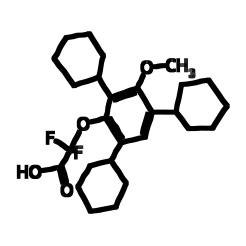 COc1c(C2CCCCC2)cc(C2CCCCC2)c(OC(F)(F)C(=O)O)c1C1CCCCC1